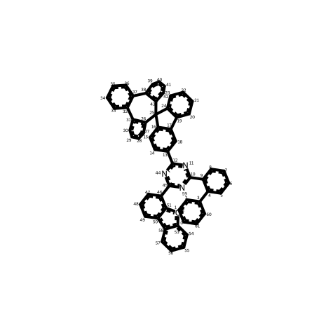 c1ccc(-c2ccccc2-c2nc(-c3ccc4c(c3)-c3ccccc3C43c4ccccc4-c4ccccc4-c4ccccc43)nc(-c3cccc4c3oc3ccccc34)n2)cc1